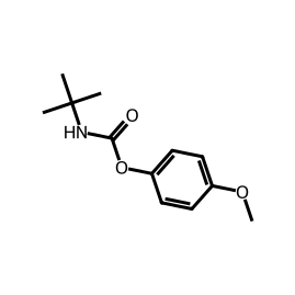 COc1ccc(OC(=O)NC(C)(C)C)cc1